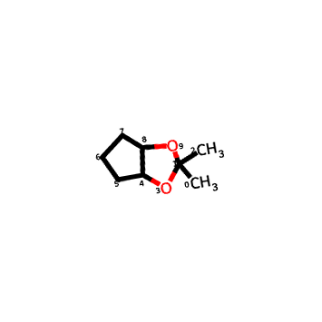 CC1(C)OC2CCCC2O1